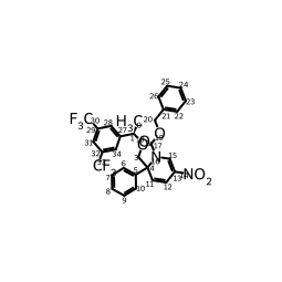 C[C@@H](OCC1(c2ccccc2)C=CC([N+](=O)[O-])=CN1C(=O)OCc1ccccc1)c1cc(C(F)(F)F)cc(C(F)(F)F)c1